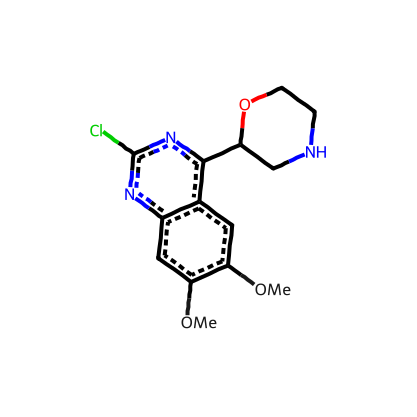 COc1cc2nc(Cl)nc(C3CNCCO3)c2cc1OC